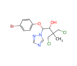 CC(CCl)(CCl)C(O)C(Oc1ccc(Br)cc1)n1cncn1